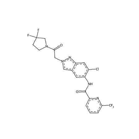 O=C(Nc1cc2cn(CC(=O)N3CCC(F)(F)C3)nc2cc1Cl)c1cccc(C(F)(F)F)n1